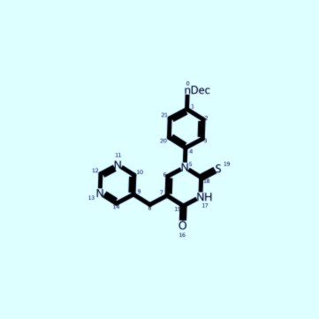 CCCCCCCCCCc1ccc(-n2cc(Cc3cncnc3)c(=O)[nH]c2=S)cc1